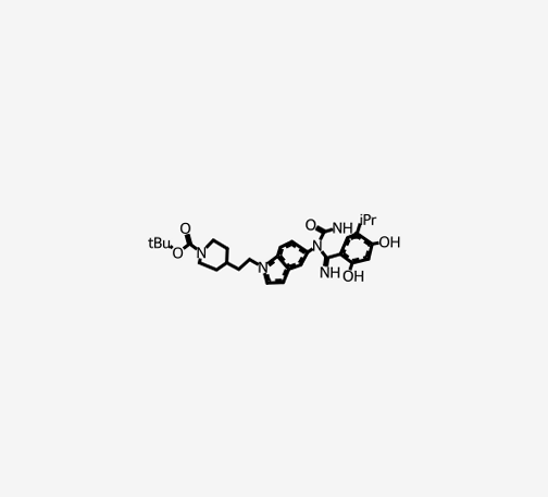 CC(C)c1cc(C(=N)N(C(N)=O)c2ccc3c(ccn3CCC3CCN(C(=O)OC(C)(C)C)CC3)c2)c(O)cc1O